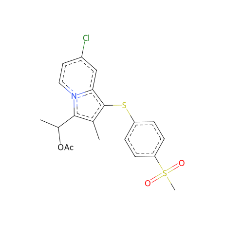 CC(=O)OC(C)c1c(C)c(Sc2ccc(S(C)(=O)=O)cc2)c2cc(Cl)ccn12